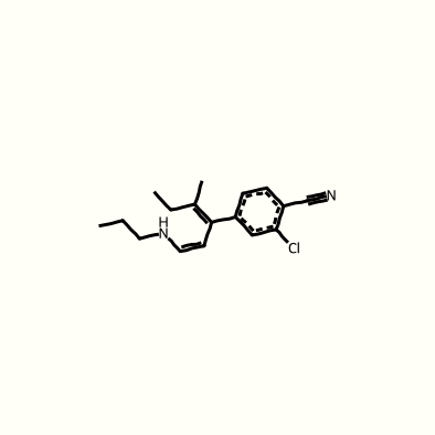 CCCN/C=C\C(=C(\C)CC)c1ccc(C#N)c(Cl)c1